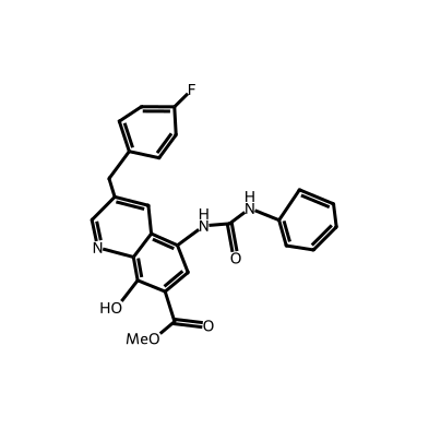 COC(=O)c1cc(NC(=O)Nc2ccccc2)c2cc(Cc3ccc(F)cc3)cnc2c1O